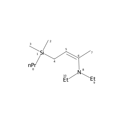 CCC[Si](C)(C)C/C=C(/C)N(CC)CC